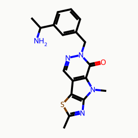 Cc1nc2c(s1)c1cnn(Cc3cccc(C(C)N)c3)c(=O)c1n2C